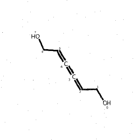 OCC=C=C=CCO